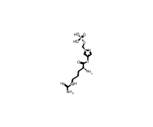 N=C(N)NCCC[C@H](N)C(=O)Oc1cnn(COP(=O)(O)O)c1